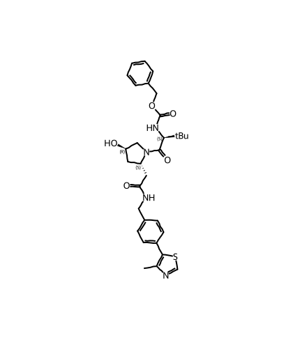 Cc1ncsc1-c1ccc(CNC(=O)C[C@@H]2C[C@@H](O)CN2C(=O)[C@@H](NC(=O)OCc2ccccc2)C(C)(C)C)cc1